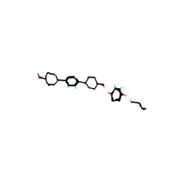 C=CCCOc1ccc(OC(=O)C2CCC(c3ccc(C4CCC(C(O)CCC)CC4)c(F)c3F)CC2)c(F)c1F